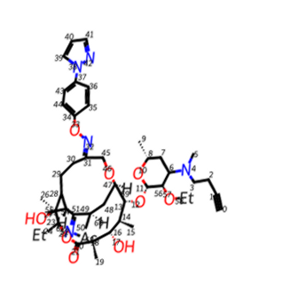 C#CCCN(C)C1C[C@@H](C)O[C@@H](O[C@@H]2[C@@H](C)[C@H](O)[C@@H](C)C(=O)OC(CC)[C@@](C)(O)C3CC/C(=N\Oc4ccc(-n5cccn5)cc4)CO[C@@H]2C[C@@H](C)/C(=N\C(C)=O)[C@@H]3C)[C@@H]1OCC